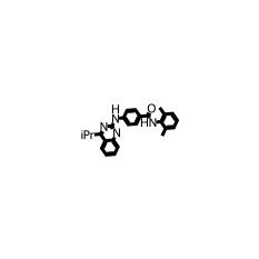 Cc1cccc(C)c1NC(=O)c1ccc(Nc2nc(C(C)C)c3ccccc3n2)cc1